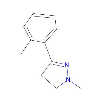 Cc1ccccc1C1=NN(C)CC1